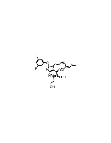 C=N/C=C(Cl)\C=C/CCn1c(Oc2cc(F)cc(F)c2)nc(NC)c1C(=O)N(C=O)CCCO